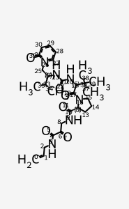 C=CCNC(=O)C(=O)CNC(=O)[C@@H]1CCCN1C(=O)[C@@H](NC(=O)N[C@H](Cn1ccccc1=O)C(C)C)C(C)(C)C